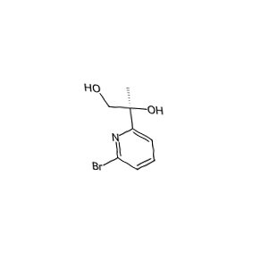 C[C@@](O)(CO)c1cccc(Br)n1